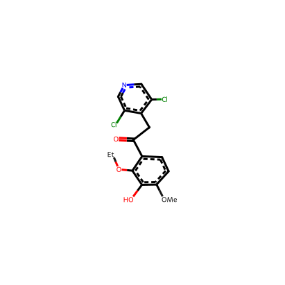 CCOc1c(C(=O)Cc2c(Cl)cncc2Cl)ccc(OC)c1O